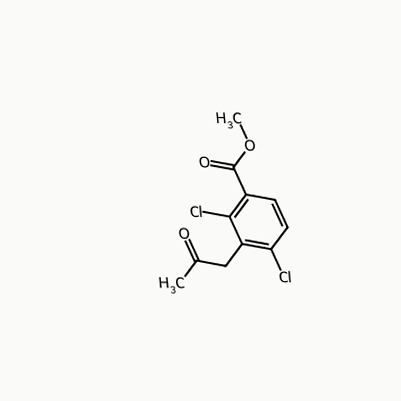 COC(=O)c1ccc(Cl)c(CC(C)=O)c1Cl